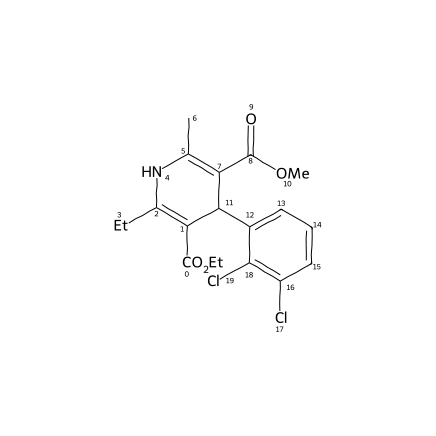 CCOC(=O)C1=C(CC)NC(C)=C(C(=O)OC)C1c1cccc(Cl)c1Cl